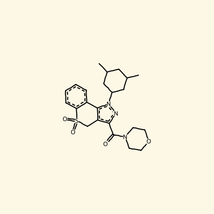 CC1CC(C)CC(n2nc(C(=O)N3CCOCC3)c3c2-c2ccccc2S(=O)(=O)C3)C1